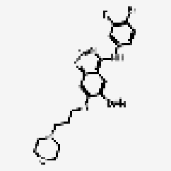 COc1cc2c(Nc3ccc(Br)c(F)c3)nnnc2cc1OCCCN1CCOCC1.Cl